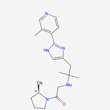 Cc1cnccc1-c1nc(CC(C)(C)NCC(=O)N2CCC[C@H]2C#N)c[nH]1